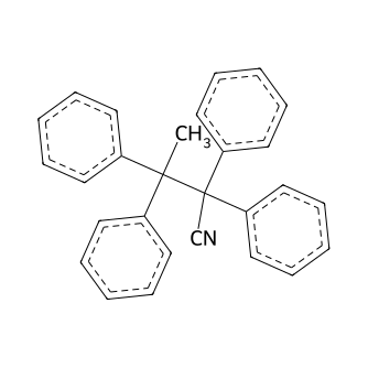 CC(c1ccccc1)(c1ccccc1)C(C#N)(c1ccccc1)c1ccccc1